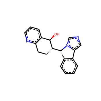 O[C@@H]1c2cccnc2CC[C@H]1[C@H]1c2ccccc2-c2cncn21